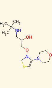 CC(C)(C)NCC(O)CON1CSC=C1N1CCOCC1